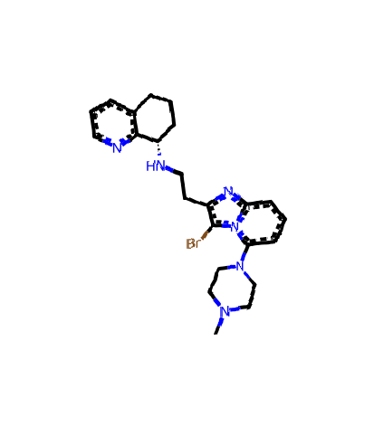 CN1CCN(c2cccc3nc(CCN[C@H]4CCCc5cccnc54)c(Br)n23)CC1